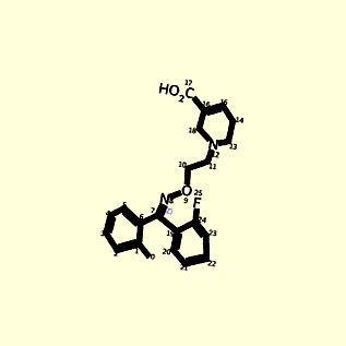 Cc1ccccc1/C(=N/OCCN1CCC=C(C(=O)O)C1)c1ccccc1F